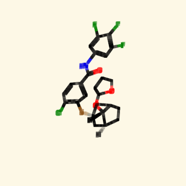 O=C(Nc1cc(F)c(F)c(F)c1)c1ccc(Cl)c(S[C@@H]2CC3CC[C@@H](C2)[C@@H]3OC2CCCO2)c1